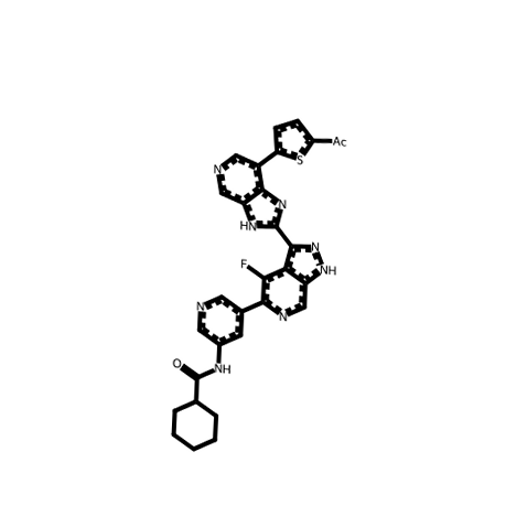 CC(=O)c1ccc(-c2cncc3[nH]c(-c4n[nH]c5cnc(-c6cncc(NC(=O)C7CCCCC7)c6)c(F)c45)nc23)s1